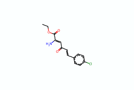 CCOC(=O)C(N)=CC(=O)C=Cc1ccc(Cl)cc1